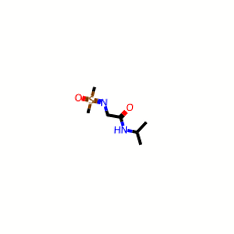 CC(C)NC(=O)CN=S(C)(C)=O